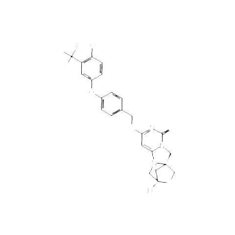 O=c1nc(OCc2ccc(Oc3ccc(Cl)c(C(F)(F)F)c3)cc2)cc2n1C[C@]13CO[C@H](CN21)C3